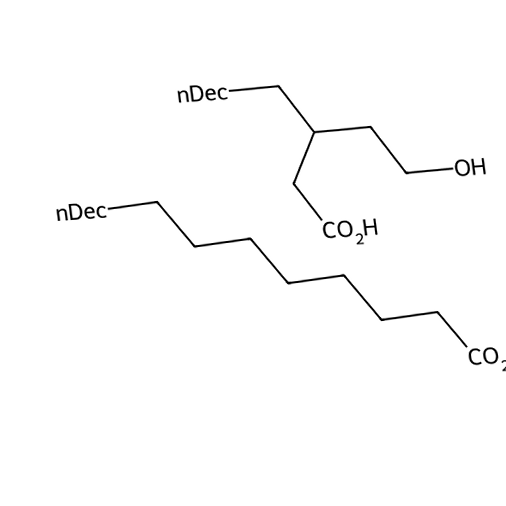 CCCCCCCCCCCC(CCO)CC(=O)O.CCCCCCCCCCCCCCCCCC(=O)O